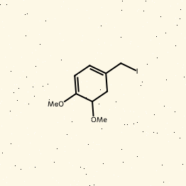 COC1=CC=C(CI)CC1OC